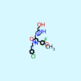 COc1ccc(-c2cc(CN3CCNC(CCO)C3)c(=O)n(C/C=C/c3ccc(Cl)cc3)n2)cc1F